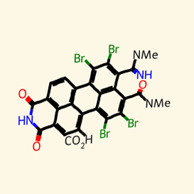 CNC(=N)c1c(Br)c(Br)c2c3ccc4c5c(cc(C(=O)O)c(c6c(Br)c(Br)c(C(=O)NC)c1c26)c53)C(=O)NC4=O